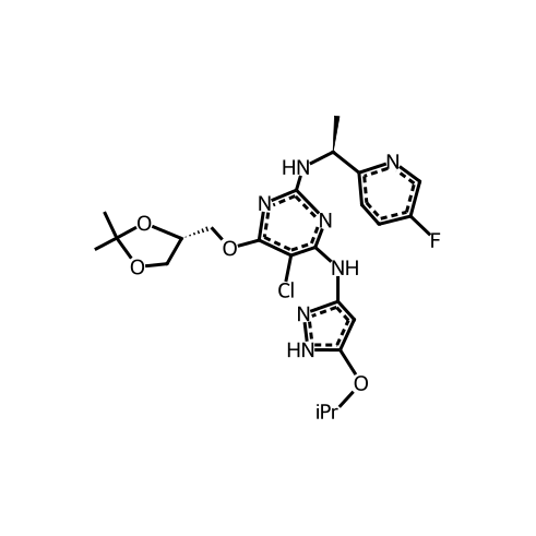 CC(C)Oc1cc(Nc2nc(N[C@@H](C)c3ccc(F)cn3)nc(OC[C@@H]3COC(C)(C)O3)c2Cl)n[nH]1